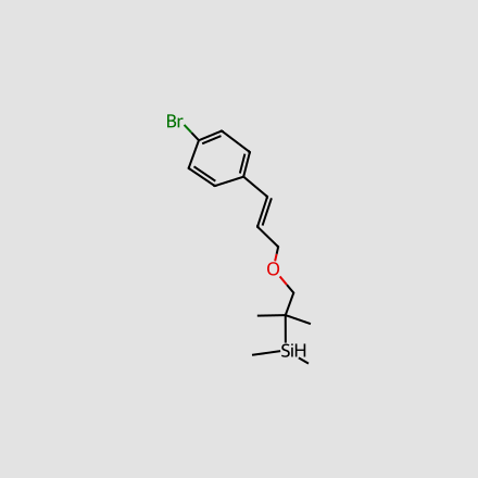 C[SiH](C)C(C)(C)COC/C=C/c1ccc(Br)cc1